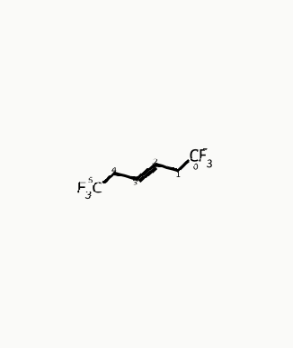 FC(F)(F)CC=CCC(F)(F)F